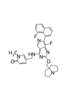 Cn1cc(CNc2nc(OCC34CCCN3CCC4)nc3c(F)c(-c4cccc5cccc(F)c45)ncc23)ccc1=O